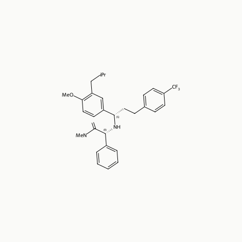 C=C(NC)[C@H](N[C@@H](CCc1ccc(C(F)(F)F)cc1)c1ccc(OC)c(CC(C)C)c1)c1ccccc1